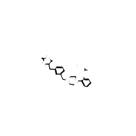 CC(C)Oc1ccccc1N1CCN(Cc2cccc(CC3NC(=O)NC3=O)c2)CC1